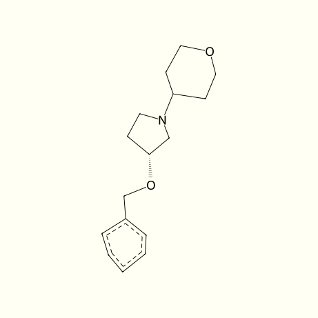 c1ccc(CO[C@@H]2CCN(C3CCOCC3)C2)cc1